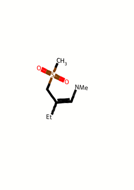 CCC(=CNC)CS(C)(=O)=O